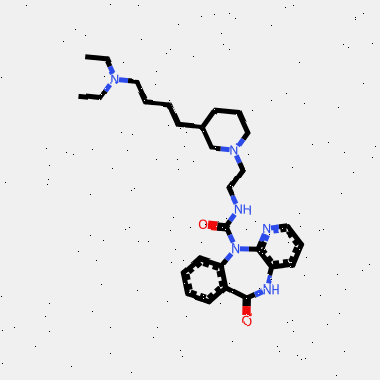 CCN(CC)CCCCC1CCCN(CCNC(=O)N2c3ccccc3C(=O)Nc3cccnc32)C1